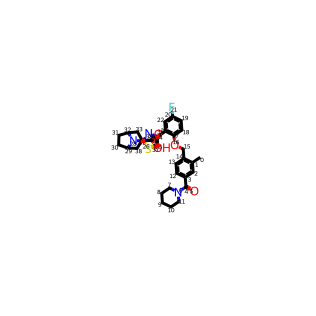 Cc1cc(C(=O)N2CCCCC2)ccc1COc1ccc(F)cc1-c1csc(N2C3CCC2CC(C(=O)O)C3)n1